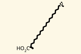 C=C(CCCCCCCCCCCCCCCCCCCN(C)C)C(=O)O